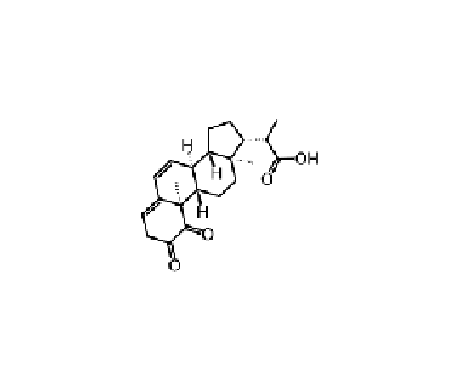 CC(C(=O)O)[C@H]1CC[C@H]2[C@@H]3C=CC4=CCC(=O)C(=O)[C@]4(C)[C@H]3CC[C@]12C